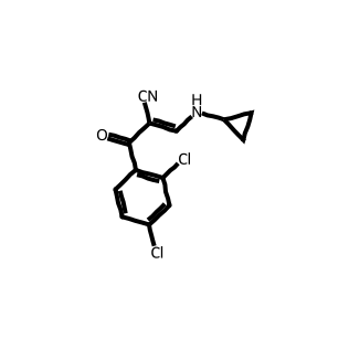 N#CC(=CNC1CC1)C(=O)c1ccc(Cl)cc1Cl